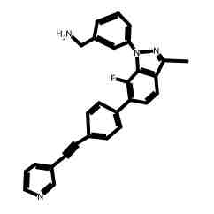 Cc1nn(-c2cccc(CN)c2)c2c(F)c(-c3ccc(C#Cc4cccnc4)cc3)ccc12